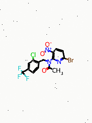 CC(=O)N(Cc1ccc(C(F)(F)F)cc1Cl)c1nc(Br)ccc1[N+](=O)[O-]